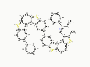 C=C/C(=C\c1c(C)sc2ccc3sc4ccc(-c5ccc6sc7ccc8sc9ccc(-c%10ccccc%10)cc9c8c7c6c5)cc4c3c12)c1ccccc1